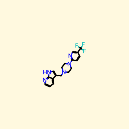 FC(F)(F)c1ccc(N2CCN(Cc3c[nH]c4ncccc34)CC2)nc1